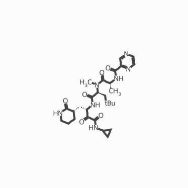 C[C@@H](NC(=O)c1cnccn1)C(=O)N(C)[C@@H](CC(C)(C)C)C(=O)N[C@@H](C[C@@H]1CCCNC1=O)C(=O)C(=O)NC1CC1